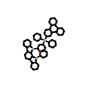 c1ccc(-n2c3ccccc3c3ccc4c5ccccc5n(-c5cccc([Si](c6ccccc6)(c6ccccc6)c6ccc7c8ccccc8c8ccccc8c7c6)c5)c4c32)cc1